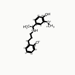 COc1cc([C@H](C)NCCCc2ccccc2Cl)ccc1O